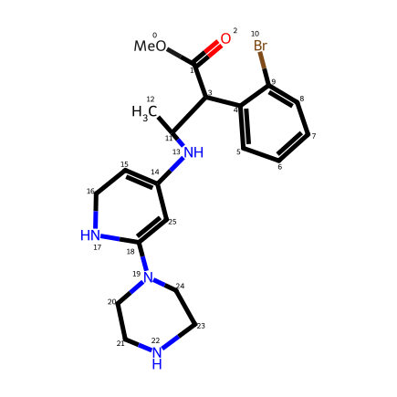 COC(=O)C(c1ccccc1Br)C(C)NC1=CCNC(N2CCNCC2)=C1